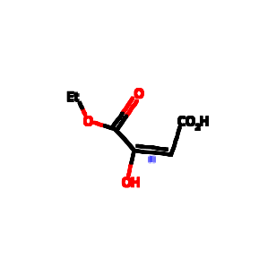 CCOC(=O)/C(O)=C\C(=O)O